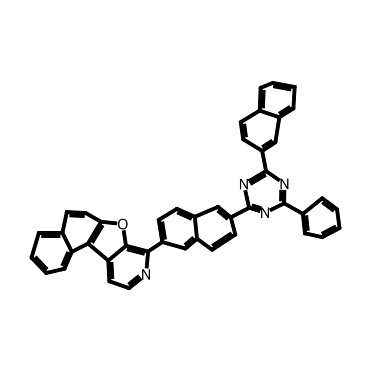 c1ccc(-c2nc(-c3ccc4ccccc4c3)nc(-c3ccc4cc(-c5nccc6c5oc5ccc7ccccc7c56)ccc4c3)n2)cc1